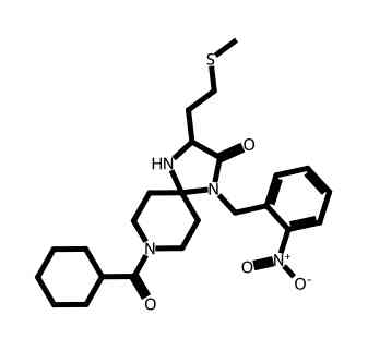 CSCCC1NC2(CCN(C(=O)C3CCCCC3)CC2)N(Cc2ccccc2[N+](=O)[O-])C1=O